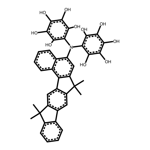 CC1(C)c2ccccc2-c2cc3c(cc21)-c1c(cc(N(c2c(O)c(O)c(O)c(O)c2O)c2c(O)c(O)c(O)c(O)c2O)c2ccccc12)C3(C)C